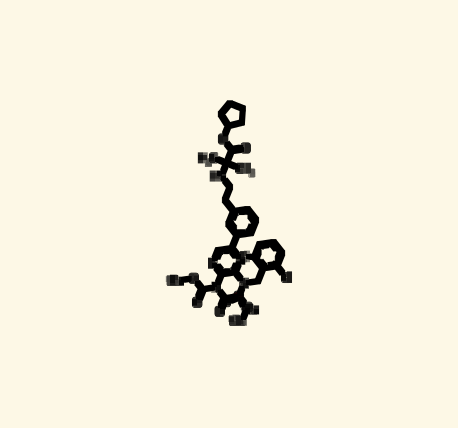 CC(C)(C)OC(=O)N(Cc1c(Cl)cccc1Cl)c1nc(-c2cccc(CCNC(C)(C)C(=O)OC3CCCC3)c2)cnc1N(C(=O)OC(C)(C)C)C(=O)OC(C)(C)C